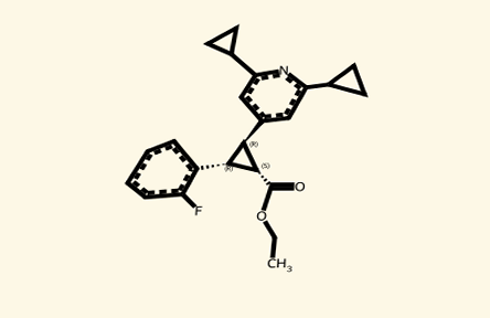 CCOC(=O)[C@H]1[C@H](c2cc(C3CC3)nc(C3CC3)c2)[C@H]1c1ccccc1F